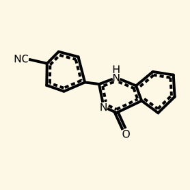 N#Cc1ccc(-c2nc(=O)c3ccccc3[nH]2)cc1